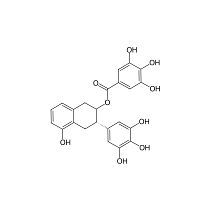 O=C(OC1Cc2cccc(O)c2C[C@H]1c1cc(O)c(O)c(O)c1)c1cc(O)c(O)c(O)c1